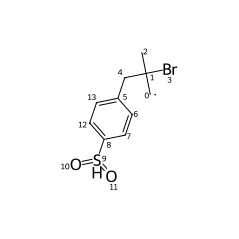 [CH2]C(C)(Br)Cc1ccc([SH](=O)=O)cc1